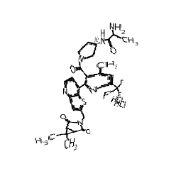 Cc1cc(C(F)(F)F)nc(-c2ccnc3cc(CN4C(=O)C5C(C4=O)C5(C)C)sc23)c1C(=O)N1CC[C@H](NC(=O)C(C)N)C1.Cl.Cl